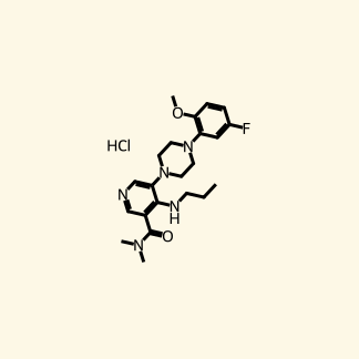 CCCNc1c(C(=O)N(C)C)cncc1N1CCN(c2cc(F)ccc2OC)CC1.Cl